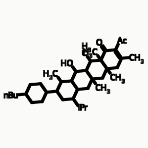 CCCCC1CCC(C2CC(C(C)C)C3CC4(C)CC5(C)CC(C)=C(C(C)=O)C(=O)C5(C)C(C)C4C(O)C3C2C)CC1